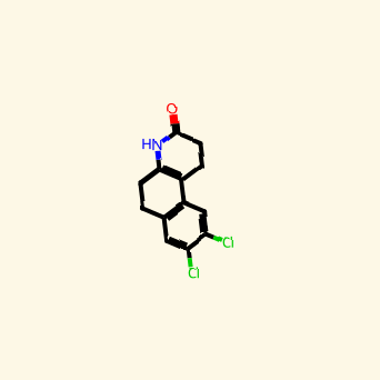 O=C1CCC2=C(CCc3cc(Cl)c(Cl)cc32)N1